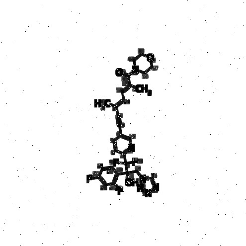 C/C(C#Cc1ccc(C(F)(F)C(O)(Cn2cnnn2)c2ccc(F)cc2F)nc1)=C\C=C(/C)C(=O)N1CCOCC1